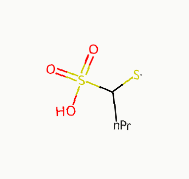 CCCC([S])S(=O)(=O)O